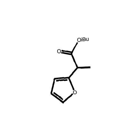 CC(C)COC(=O)C(C)c1ccco1